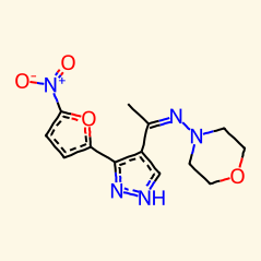 CC(=NN1CCOCC1)c1c[nH]nc1-c1ccc([N+](=O)[O-])o1